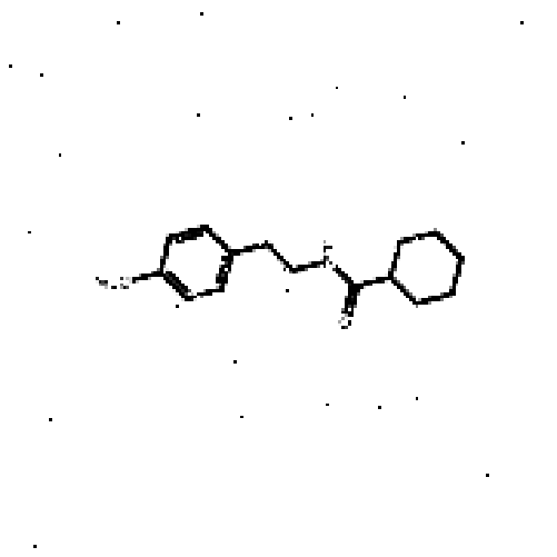 COc1ccc(CCNC(=O)C2CCCCC2)cc1